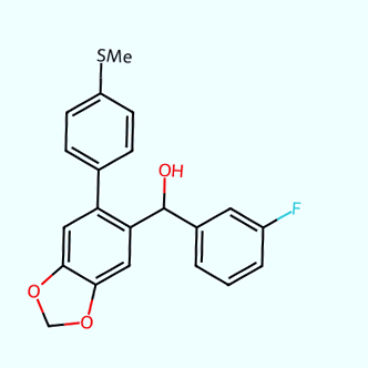 CSc1ccc(-c2cc3c(cc2C(O)c2cccc(F)c2)OCO3)cc1